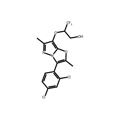 Cc1nn2c(-c3ccc(Cl)cc3Cl)c(C)oc2c1OC(CO)C(F)(F)F